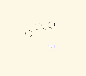 CCNCCCCOC1=C(c2ccccc2)CCC/C1=C\c1ccccc1